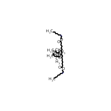 CCCCCC/C=C\COC(=O)CCCCCCCC(CCCCCCCC(=O)OC/C=C\CCCCCC)OC(=O)C(C)(C)CC(C)(C)CN(C)C(C)CCC